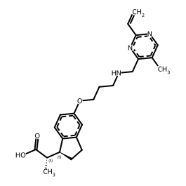 C=Cc1ncc(C)c(CNCCCOc2ccc3c(c2)CC[C@H]3[C@H](C)C(=O)O)n1